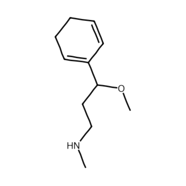 CNCCC(OC)C1=CCCC=C1